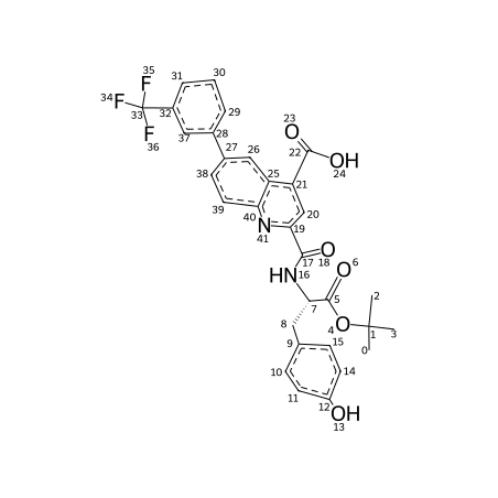 CC(C)(C)OC(=O)[C@H](Cc1ccc(O)cc1)NC(=O)c1cc(C(=O)O)c2cc(-c3cccc(C(F)(F)F)c3)ccc2n1